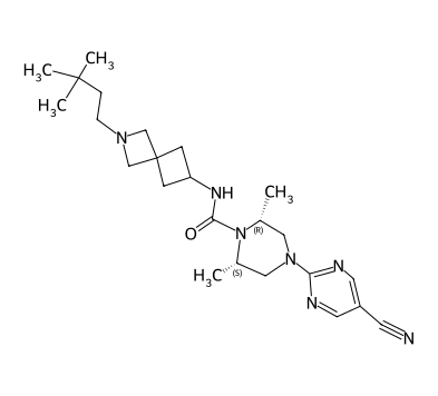 C[C@@H]1CN(c2ncc(C#N)cn2)C[C@H](C)N1C(=O)NC1CC2(C1)CN(CCC(C)(C)C)C2